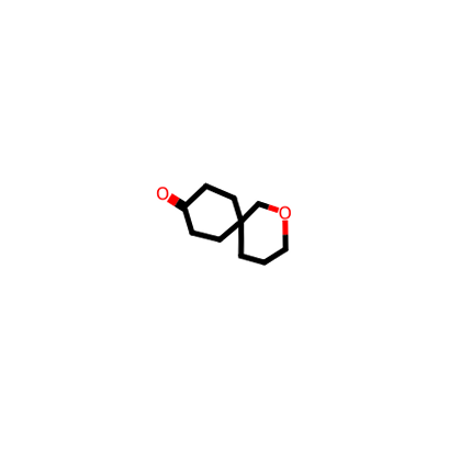 O=C1CCC2(CCCOC2)CC1